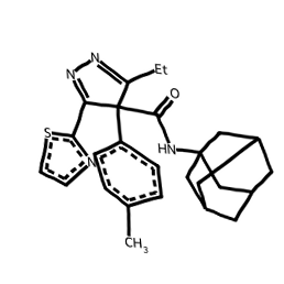 CCC1=NN=C(c2nccs2)C1(C(=O)NC12CC3CC(CC(C3)C1)C2)c1ccc(C)cc1